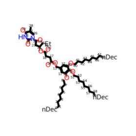 CCCCCCCCCCCCCCCCCCOc1cc(COC(=O)CCC(=O)OC2CC(n3cc(C)c(=O)[nH]c3=O)O[C@@H]2CC)cc(OCCCCCCCCCCCCCCCCCC)c1OCCCCCCCCCCCCCCCCCC